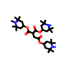 CN1C(C)(C)CC(OC(=O)C(CC(=O)OC2CC(C)(C)NC(C)(C)C2)C(=O)OC2CC(C)(C)NC(C)(C)C2)CC1(C)C